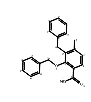 Cc1ccc(C(=O)O)c(OCc2ccccc2)c1Cc1ccccc1